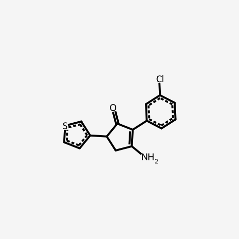 NC1=C(c2cccc(Cl)c2)C(=O)C(c2ccsc2)C1